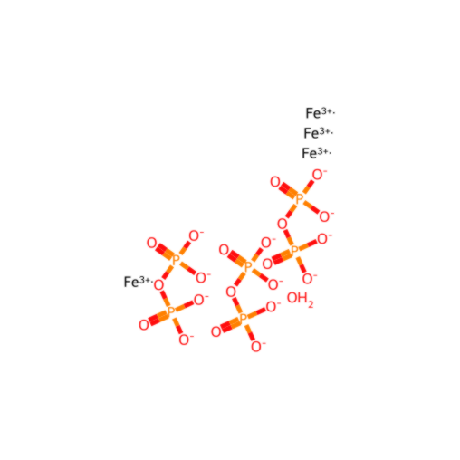 O.O=P([O-])([O-])OP(=O)([O-])[O-].O=P([O-])([O-])OP(=O)([O-])[O-].O=P([O-])([O-])OP(=O)([O-])[O-].[Fe+3].[Fe+3].[Fe+3].[Fe+3]